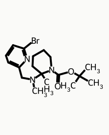 CN(Cc1cccc(Br)n1)C1(C)CCCCN1C(=O)OC(C)(C)C